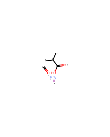 C=O.CC(C)C(=O)O.I.N